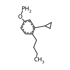 CCCCc1ccc(OP)cc1C1CC1